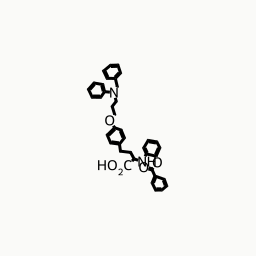 O=C(Oc1ccccc1NC(CCc1ccc(OCCCN(Cc2ccccc2)c2ccccc2)cc1)C(=O)O)c1ccccc1